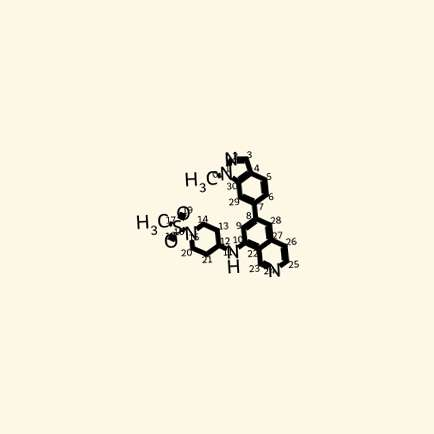 Cn1ncc2ccc(-c3cc(NC4CCN(S(C)(=O)=O)CC4)c4cnccc4c3)cc21